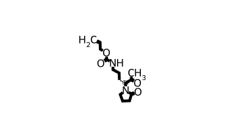 C=CCOC(=O)NCCC[C@H](C(C)=O)N1CCCC1=O